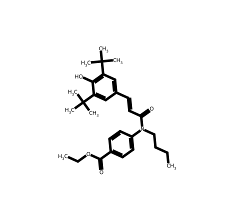 CCCCN(C(=O)C=Cc1cc(C(C)(C)C)c(O)c(C(C)(C)C)c1)c1ccc(C(=O)OCC)cc1